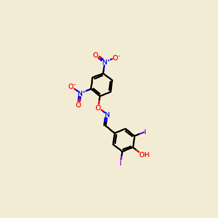 O=[N+]([O-])c1ccc(ON=Cc2cc(I)c(O)c(I)c2)c([N+](=O)[O-])c1